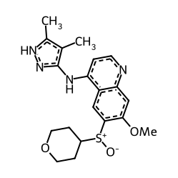 COc1cc2nccc(Nc3n[nH]c(C)c3C)c2cc1[S+]([O-])C1CCOCC1